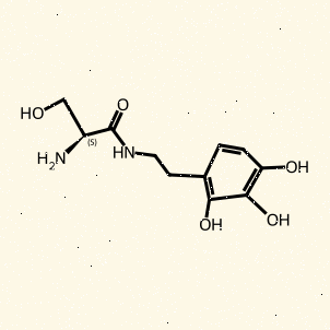 N[C@@H](CO)C(=O)NCCc1ccc(O)c(O)c1O